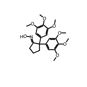 COc1cc(C2(c3cc(OC)c(OC)c(OC)c3)CCCC2=NO)cc(OC)c1OC